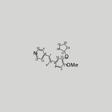 COc1ccc(/C(C)=C/c2ccncc2)cc1OC1CCCC1